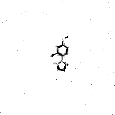 COc1ccc(-n2nccn2)c(I)c1